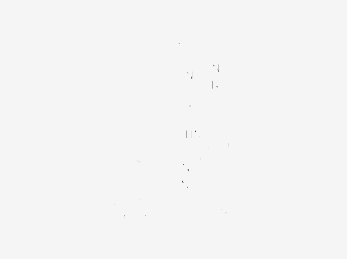 O=C(NCCc1nnc2ccccn12)c1nn(Cc2cccc3c2CCO3)c2ccccc12